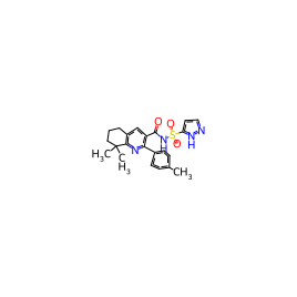 Cc1ccc(-c2nc3c(cc2C(=O)NS(=O)(=O)c2ccn[nH]2)CCCC3(C)C)cc1